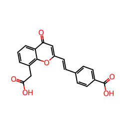 O=C(O)Cc1cccc2c(=O)cc(C=Cc3ccc(C(=O)O)cc3)oc12